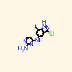 Nc1nccc(Nc2cc(I)c3[nH]nc(Cl)c3c2)n1